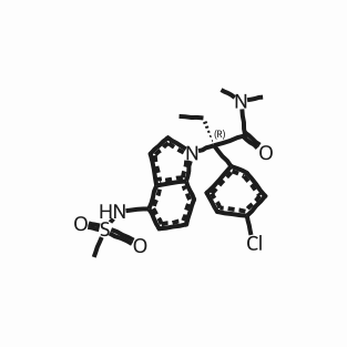 CC[C@](C(=O)N(C)C)(c1ccc(Cl)cc1)n1ccc2c(NS(C)(=O)=O)cccc21